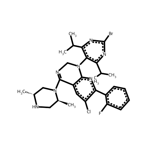 CC(C)c1nc(Br)nc(C(C)C)c1N1CN=C(N2C[C@@H](C)NC[C@@H]2C)c2cc(Cl)c(-c3ccccc3F)nc21